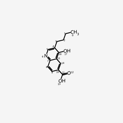 CCCCc1cnc2ccc(C(=O)O)cc2c1O